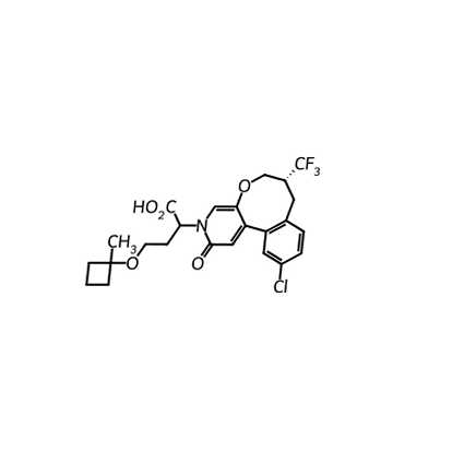 CC1(OCCC(C(=O)O)n2cc3c(cc2=O)-c2cc(Cl)ccc2C[C@@H](C(F)(F)F)CO3)CCC1